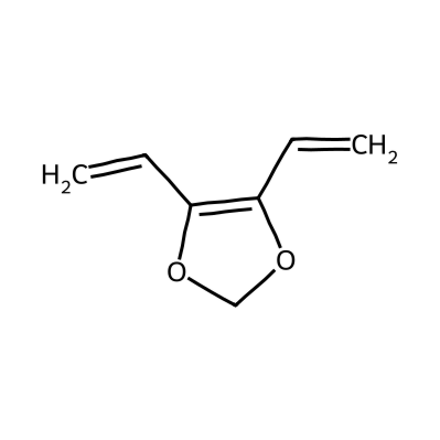 C=CC1=C(C=C)OCO1